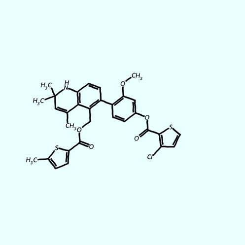 COc1cc(OC(=O)c2sccc2Cl)ccc1-c1ccc2c(c1COC(=O)c1ccc(C)s1)C(C)=CC(C)(C)N2